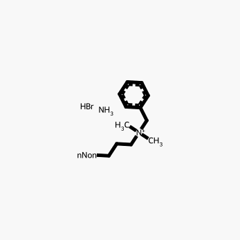 Br.CCCCCCCCCCCC[N+](C)(C)Cc1ccccc1.N